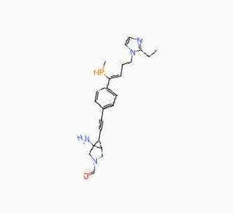 CCc1nccn1CC/C=C(\PC)c1ccc(C#CC2C3CN(C=O)CC23N)cc1